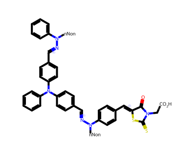 CCCCCCCCCN(/N=C/c1ccc(N(c2ccccc2)c2ccc(/C=N/N(CCCCCCCCC)c3ccc(/C=C4\SC(=S)N(CC(=O)O)C4=O)cc3)cc2)cc1)c1ccccc1